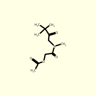 CC(=O)OCC(=O)N(C)CC(=O)C(C)(C)C